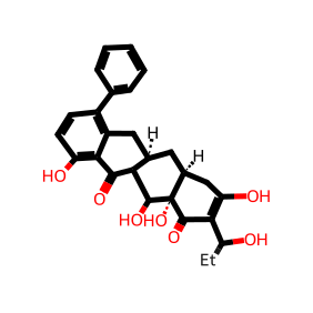 CCC(O)C1=C(O)C[C@@H]2C[C@@H]3Cc4c(-c5ccccc5)ccc(O)c4C(=O)C3C(O)[C@]2(O)C1=O